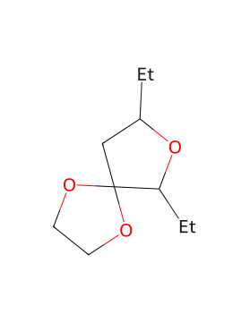 CCC1CC2(OCCO2)C(CC)O1